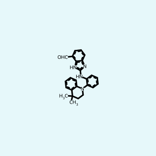 CC1(C)CCN(c2ccccc2Nc2nc3cccc(C=O)c3[nH]2)c2ccccc21